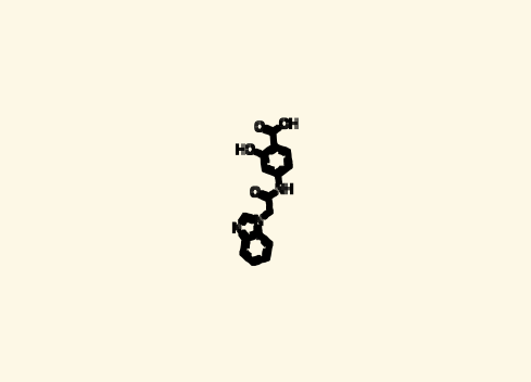 O=C(Cn1cnc2ccccc21)Nc1ccc(C(=O)O)c(O)c1